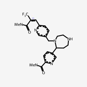 CNC(=O)/C(=C\c1ccc(CN2CCNCCC2c2ccc(C(=O)NC)nc2)cn1)C(F)(F)F